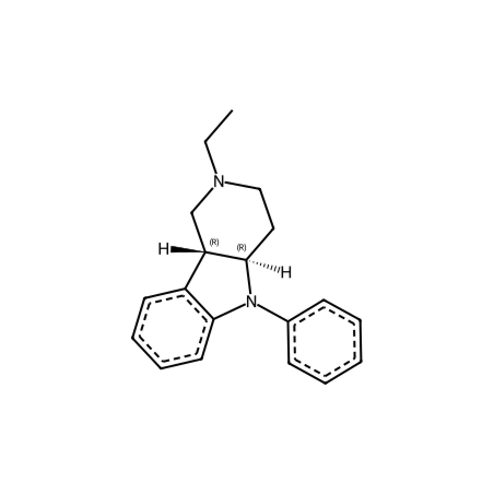 CCN1CC[C@@H]2[C@@H](C1)c1ccccc1N2c1ccccc1